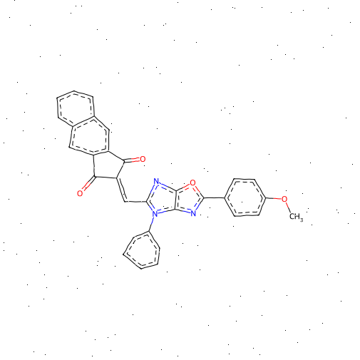 COc1ccc(-c2nc3c(nc(C=C4C(=O)c5cc6ccccc6cc5C4=O)n3-c3ccccc3)o2)cc1